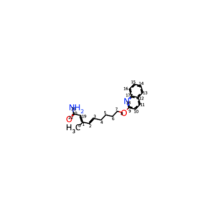 CC(C=CCCCCOc1ccc2ccccc2n1)=CC(N)=O